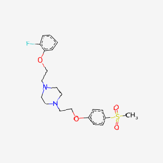 CS(=O)(=O)c1ccc(OCCN2CCN(CCOc3ccccc3F)CC2)cc1